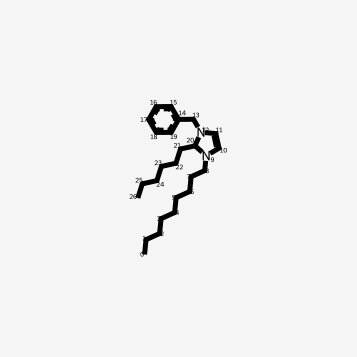 CCCCCCCCCN1C=CN(Cc2ccccc2)C1CCCCCC